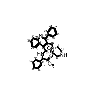 COC(=O)C(NC(=O)c1c(C[N+]2([O-])CCNCC2)c(-c2ccccc2)nc2ccccc12)c1ccccc1